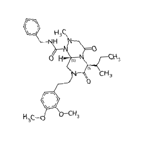 CCC(C)[C@H]1C(=O)N(CCc2ccc(OC)c(OC)c2)C[C@H]2N1C(=O)CN(C)N2C(=O)NCc1ccccc1